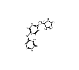 c1ccc(Cc2ccc(OC3CCOC3)cc2)cc1